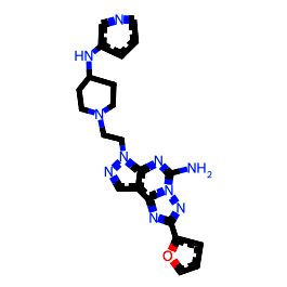 Nc1nc2c(cnn2CCN2CCC(Nc3cccnc3)CC2)c2nc(-c3ccco3)nn12